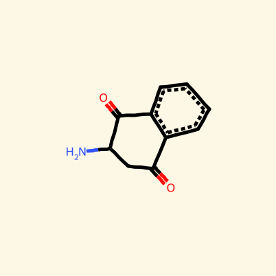 NC1CC(=O)c2ccccc2C1=O